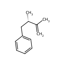 C=C(C)[C@@H](C)Cc1ccccc1